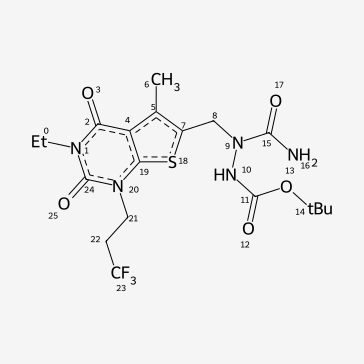 CCn1c(=O)c2c(C)c(CN(NC(=O)OC(C)(C)C)C(N)=O)sc2n(CCC(F)(F)F)c1=O